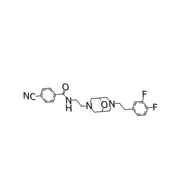 N#Cc1ccc(C(=O)NCCN2CC3CN(CCc4ccc(F)c(F)c4)CC(C2)O3)cc1